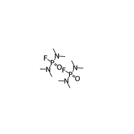 CN(C)P(=O)(F)N(C)C.CN(C)P(=O)(F)N(C)C